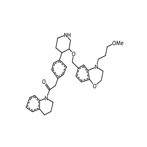 COCCCN1CCOc2ccc(COC3CNCCC3c3ccc(CC(=O)N4CCCc5ccccc54)cc3)cc21